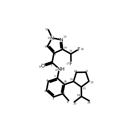 Cc1cccc(NC(=O)c2cn(C)nc2C(F)F)c1C1CCCC1C(C)C